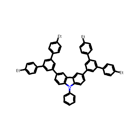 CCc1ccc(-c2cc(-c3ccc(CC)cc3)cc(-c3ccc4c(c3)c3cc(-c5cc(-c6ccc(CC)cc6)cc(-c6ccc(CC)cc6)c5)ccc3n4-c3ccccc3)c2)cc1